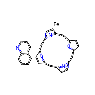 C1=Cc2cc3ccc(cc4nc(cc5ccc(cc1n2)[nH]5)C=C4)[nH]3.[Fe].c1ccc2ncccc2c1